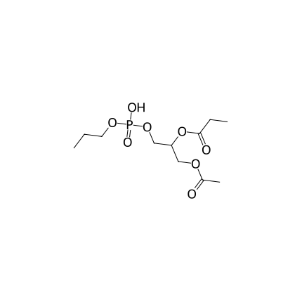 CCCOP(=O)(O)OCC(COC(C)=O)OC(=O)CC